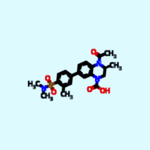 CC(=O)N1c2ccc(-c3ccc(S(=O)(=O)N(C)C)c(C)c3)cc2N(C(=O)O)C[C@@H]1C